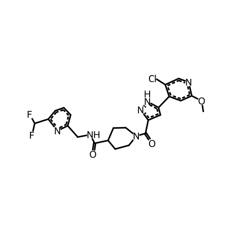 COc1cc(-c2cc(C(=O)N3CCC(C(=O)NCc4cccc(C(F)F)n4)CC3)n[nH]2)c(Cl)cn1